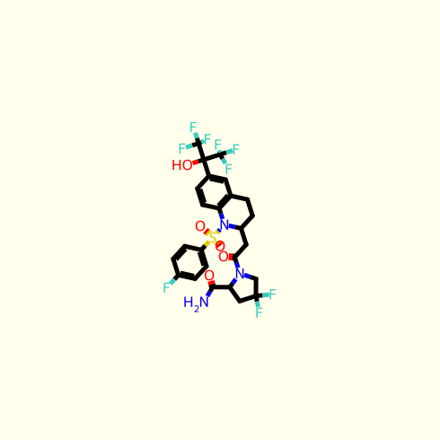 NC(=O)C1CC(F)(F)CN1C(=O)CC1CCc2cc(C(O)(C(F)(F)F)C(F)(F)F)ccc2N1S(=O)(=O)c1ccc(F)cc1